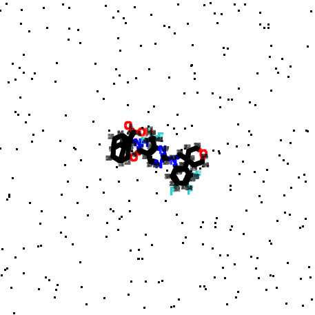 O=C(NC1(C(=O)O)C2CC3CC(C2)CC1C3)c1cnc(N2CC3(CCOCC3)c3c2cc(F)c(F)c3F)nc1C(F)(F)F